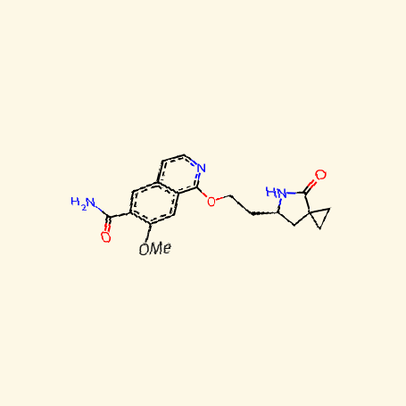 COc1cc2c(OCC[C@@H]3CC4(CC4)C(=O)N3)nccc2cc1C(N)=O